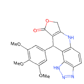 COc1cc(C2C3=C(COC3=O)Nc3ccc4nn[nH]c4c32)cc(OC)c1OC